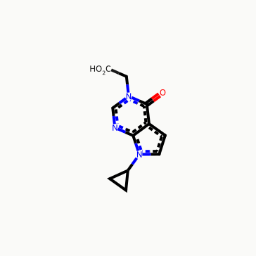 O=C(O)Cn1cnc2c(ccn2C2CC2)c1=O